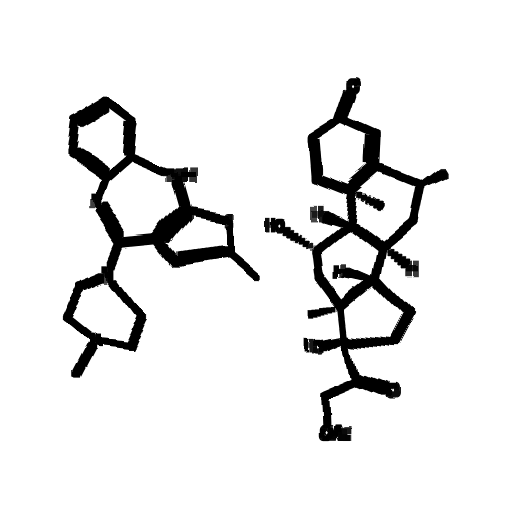 CC(=O)OCC(=O)[C@@]1(O)CC[C@H]2[C@@H]3C[C@H](C)C4=CC(=O)C=C[C@]4(C)[C@H]3[C@@H](O)C[C@@]21C.Cc1cc2c(s1)Nc1ccccc1N=C2N1CCN(C)CC1